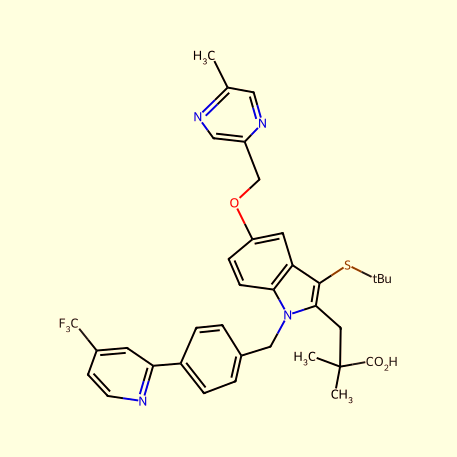 Cc1cnc(COc2ccc3c(c2)c(SC(C)(C)C)c(CC(C)(C)C(=O)O)n3Cc2ccc(-c3cc(C(F)(F)F)ccn3)cc2)cn1